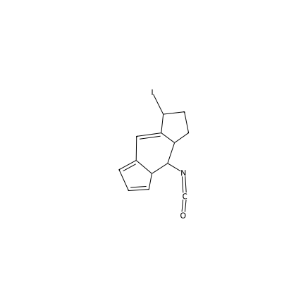 O=C=NC1C2C=CC=C2C=C2C(I)CCC21